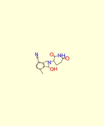 Cc1ccc(C#N)c2c1C(O)N(C1CCC(=O)NC1=O)C2